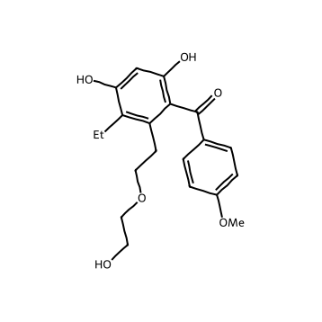 CCc1c(O)cc(O)c(C(=O)c2ccc(OC)cc2)c1CCOCCO